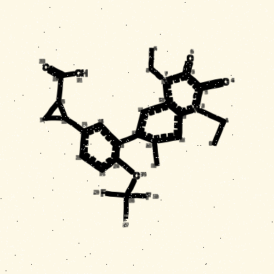 CCn1c(=O)c(=O)n(CC)c2cc(-c3cc(C4CC4C(=O)O)ccc3OC(F)(F)F)c(C)cc21